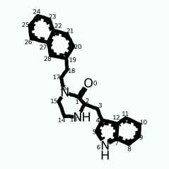 O=C1C(Cc2c[nH]c3ccccc23)NCCN1CCc1ccc2ccccc2c1